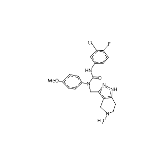 COc1ccc(N(Cc2n[nH]c3c2CN(C)CC3)C(=O)Nc2ccc(F)c(Cl)c2)cc1